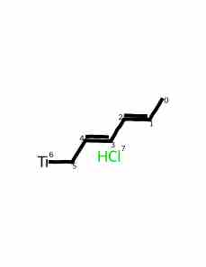 CC=CC=C[CH2][Ti].Cl